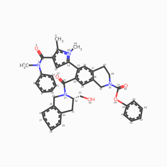 Cc1c(C(=O)N(C)c2ccccc2)cc(-c2cc3c(cc2C(=O)N2Cc4ccccc4C[C@H]2CO)CN(C(=O)Oc2ccccc2)CC3)n1C